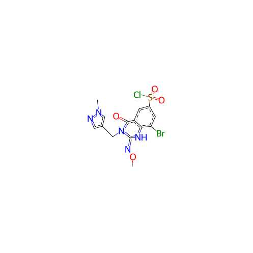 CO/N=c1\[nH]c2c(Br)cc(S(=O)(=O)Cl)cc2c(=O)n1Cc1cnn(C)c1